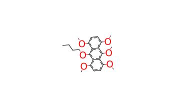 CCCCOc1c2c(OC)ccc(OC)c2c(OC)c2c(OC)ccc(OC)c12